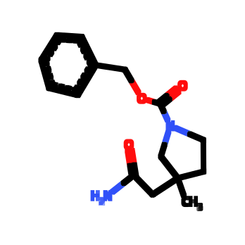 CC1(CC(N)=O)CCN(C(=O)OCc2ccccc2)C1